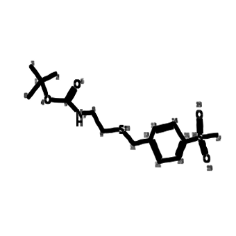 CC(C)(C)OC(=O)NCCSCc1ccc(S(C)(=O)=O)cc1